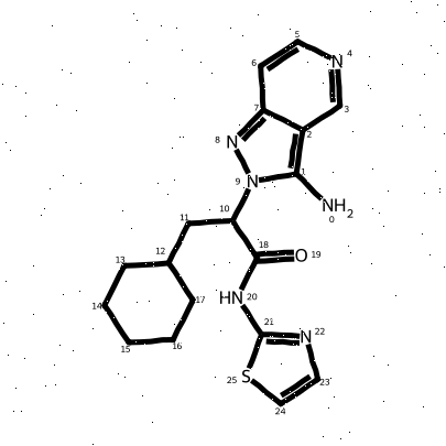 Nc1c2cnccc2nn1C(CC1CCCCC1)C(=O)Nc1nccs1